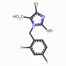 CCCc1nc(CC)c(C(=O)O)n1Cc1ccc(I)cc1F